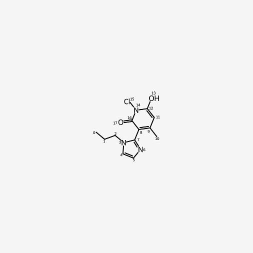 CCCn1ccnc1-c1c(C)cc(O)n(Cl)c1=O